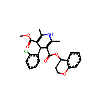 COC(=O)C1=C(C)NC(C)=C(C(=O)OC2CCOc3ccccc32)C1c1ccccc1Cl